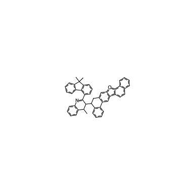 CC1c2ccccc2N=C(c2cccc3c2-c2ccccc2C3(C)C)C1C1Cc2cc3oc4c5ccccc5ccc4c3cc2-c2ccccc21